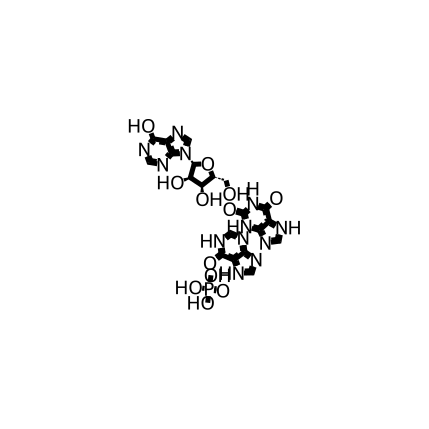 O=P(O)(O)O.O=c1[nH]c(=O)c2[nH]cnc2[nH]1.O=c1[nH]cnc2nc[nH]c12.OC[C@H]1O[C@@H](n2cnc3c(O)ncnc32)[C@H](O)[C@@H]1O